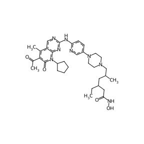 CCC(CC(=O)NO)CC(C)CN1CCN(c2ccc(Nc3ncc4c(C)c(C(C)=O)c(=O)n(C5CCCC5)c4n3)nc2)CC1